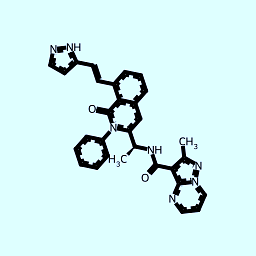 Cc1nn2cccnc2c1C(=O)N[C@@H](C)c1cc2cccc(/C=C/c3ccn[nH]3)c2c(=O)n1-c1ccccc1